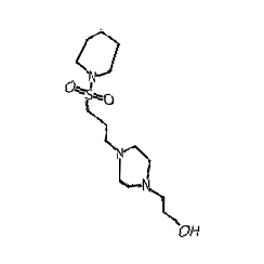 O=S(=O)(CCCN1CCN(CCO)CC1)N1CC[CH]CC1